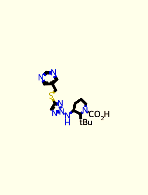 CC(C)(C)C1C(Nn2ncc(SCc3cncnc3)n2)CCCN1C(=O)O